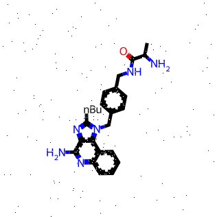 CCCCc1nc2c(N)nc3ccccc3c2n1Cc1ccc(CNC(=O)C(C)N)cc1